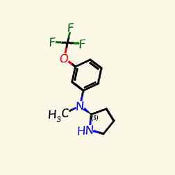 CN(c1cccc(OC(F)(F)F)c1)[C@H]1CCCN1